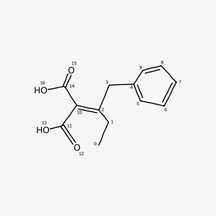 CCC(Cc1ccccc1)=C(C(=O)O)C(=O)O